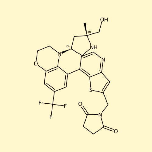 C[C@]1(CO)C[C@H](N2CCOc3cc(C(F)(F)F)cc(-c4ccnc5cc(CN6C(=O)CCC6=O)sc45)c32)CN1